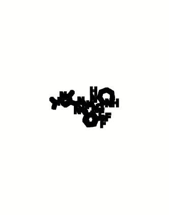 Cc1nn(C(C)C)cc1-c1nc2c3cccc(C(F)(F)F)c3nc(N[C@@H]3CCCCNC3=O)n2n1